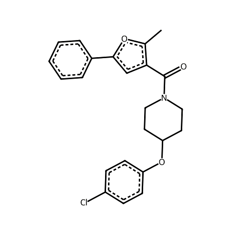 Cc1oc(-c2ccccc2)cc1C(=O)N1CCC(Oc2ccc(Cl)cc2)CC1